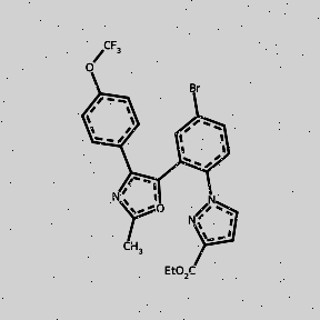 CCOC(=O)c1ccn(-c2ccc(Br)cc2-c2oc(C)nc2-c2ccc(OC(F)(F)F)cc2)n1